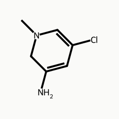 CN1C=C(Cl)C=C(N)C1